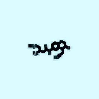 C#CCN1C(=O)COc2ccc(NC(=O)CC(CC(=O)O)C(F)(F)F)cc21